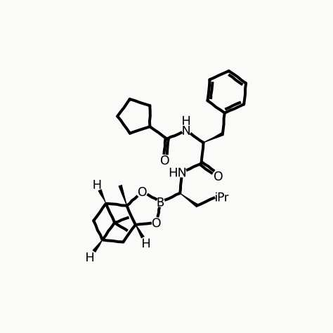 CC(C)C[C@H](NC(=O)[C@H](Cc1ccccc1)NC(=O)C1CCCC1)B1O[C@@H]2C[C@@H]3C[C@@H](C3(C)C)[C@]2(C)O1